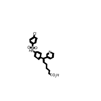 O=C(O)CCCCC=C(c1ccc(NS(=O)(=O)c2ccc(Cl)cc2)cc1)c1cccnc1